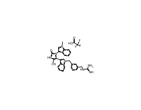 Cn1cc(-n2c(-c3cn(Cc4cccc(CNC(=N)N)c4)c4ccccc34)c(C#N)[nH]c2=O)c2ccccc21.O=C(O)C(F)(F)F